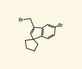 BrCC1=CC2(CCCC2)c2ccc(Br)cc21